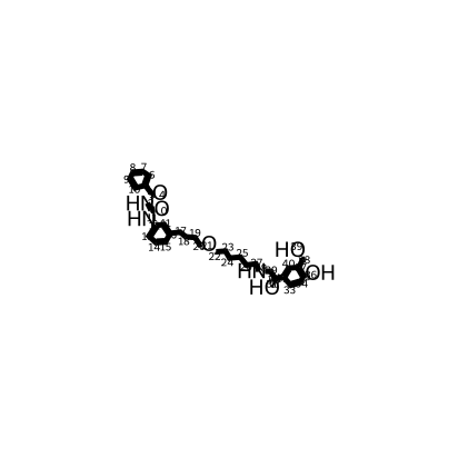 O=C(NC(=O)c1ccccc1)Nc1cccc(CCCCOCCCCCCNC[C@H](O)c2ccc(O)c(CO)c2)c1